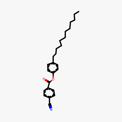 CCCCCCCCCCCCc1ccc(OC(=O)c2ccc(C#N)cc2)cc1